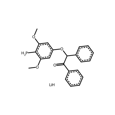 COc1cc(OC(C(=O)c2ccccc2)c2ccccc2)cc(OC)c1P.[LiH]